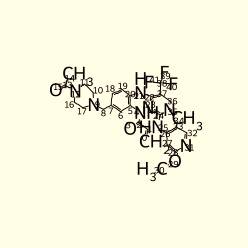 C=CC(=O)Nc1cc(CN2CCN(C(C)=O)CC2)ccc1Nc1nc(Nc2cc(OC)ncc2C)ncc1C(F)(F)F